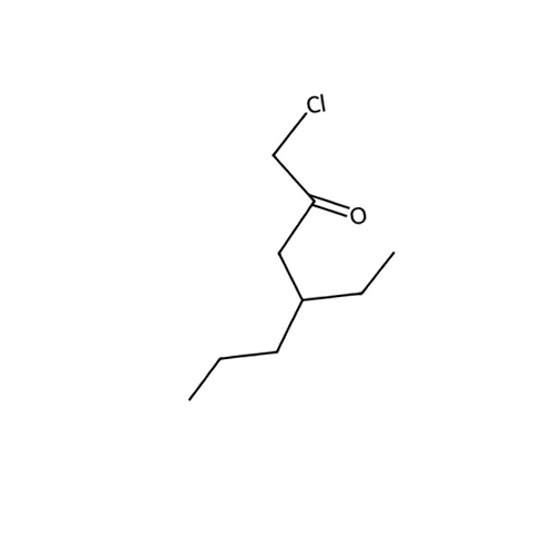 CCCC(CC)CC(=O)CCl